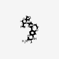 C[C@H](Nc1ccc2c(c1)OCCn1cc(N3C(C(F)F)COC34COC4)nc1-2)C(N)=O